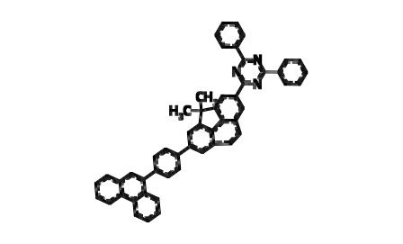 CC1(C)c2cc(-c3ccc(-c4cc5ccccc5c5ccccc45)cc3)cc3ccc4cc(-c5nc(-c6ccccc6)nc(-c6ccccc6)n5)cc1c4c23